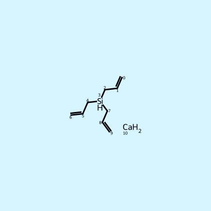 C=CC[SiH](CC=C)CC=C.[CaH2]